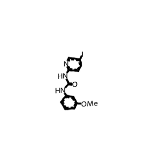 COc1cccc(NC(=O)Nc2ccc(I)cn2)c1